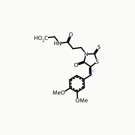 COc1ccc(/C=C2/SC(=S)N(CCC(=O)NCC(=O)O)C2=O)cc1OC